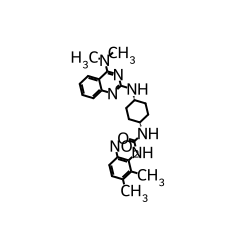 Cc1ccc([N+](=O)[O-])c(NC(=O)N[C@H]2CC[C@@H](Nc3nc(N(C)C)c4ccccc4n3)CC2)c1C